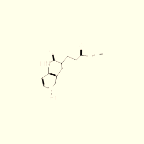 CCOC(=O)CCC1CC2=C(C=CN(Br)C2)NC1=O